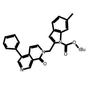 Cc1ccc2cc(Cn3ccc4c(-c5ccccc5)cncc4c3=O)n(C(=O)OC(C)(C)C)c2c1